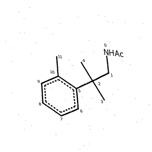 CC(=O)NCC(C)(C)c1ccccc1C